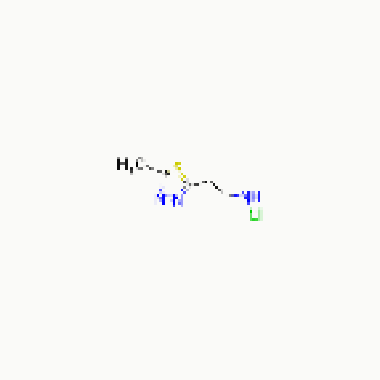 Cc1nnc(CCNCl)s1